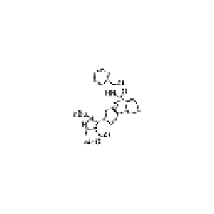 CCCC[N+]1(C)N=C(C)C(C(=O)OC)=C1c1ccc(-c2ccccc2S(=O)(=O)NC(=O)c2ccccc2)cc1